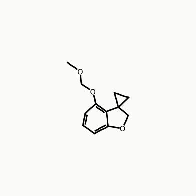 COCOc1cccc2c1C1(CC1)CO2